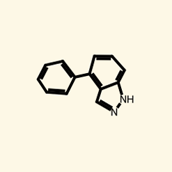 c1ccc(-c2cccc3[nH]ncc23)cc1